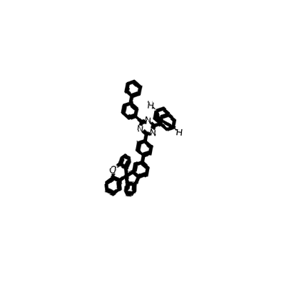 c1ccc(-c2cccc(-c3nc(-c4ccc(-c5ccc6c(c5)C5(c7ccccc7Oc7ccccc75)c5ccccc5-6)cc4)nc(C45CC6C[C@H](C4)C[C@H](C6)C5)n3)c2)cc1